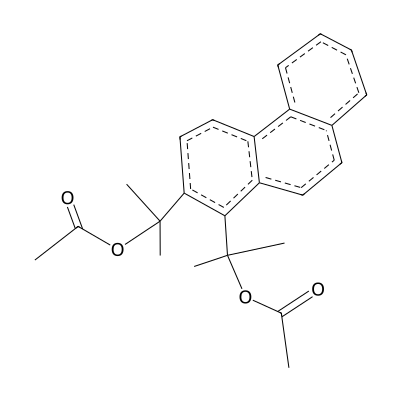 CC(=O)OC(C)(C)c1ccc2c(ccc3ccccc32)c1C(C)(C)OC(C)=O